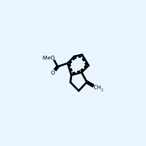 C=C1CCc2c1cccc2C(=O)OC